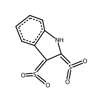 O=S(=O)=C1Nc2ccccc2C1=S(=O)=O